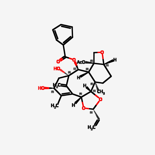 C=C[C@@H]1O[C@@H]2C3=C(C)[C@@H](O)C[C@](O)(C3=C)[C@@H](OC(=O)c3ccccc3)[C@H]3[C@@](C)(CC[C@H]4OC[C@]43OC(C)=O)[C@@H]2O1